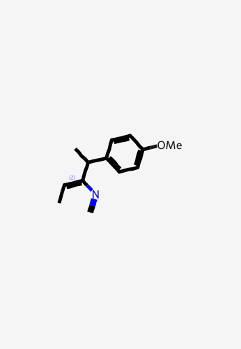 C=N/C(=C\C)C(C)c1ccc(OC)cc1